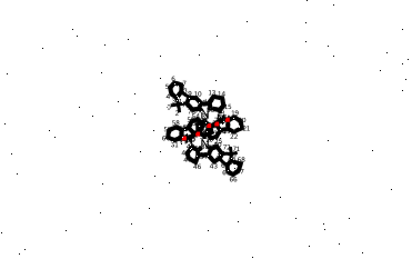 CC1(C)c2ccccc2-c2cc3c4cccc(-n5c6ccccc6c6ccccc65)c4n(-c4cc(C#N)c(-n5c6cc7c(cc6c6cccc(-n8c9ccccc9c9ccccc98)c65)-c5ccccc5C7(C)C)cc4C#N)c3cc21